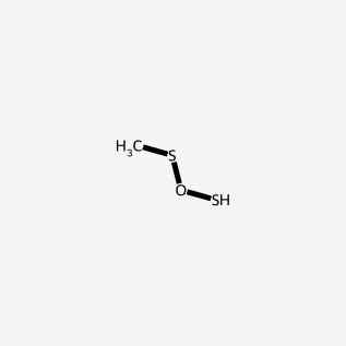 CSOS